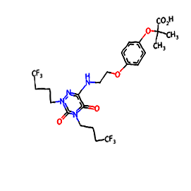 CC(C)(Oc1ccc(OCCNc2nn(CCCC(F)(F)F)c(=O)n(CCCC(F)(F)F)c2=O)cc1)C(=O)O